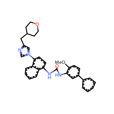 COc1ccc(-c2ccccc2)cc1NC(=O)Nc1ccc(-n2cnc(CC3CCOCC3)c2)c2ccccc12